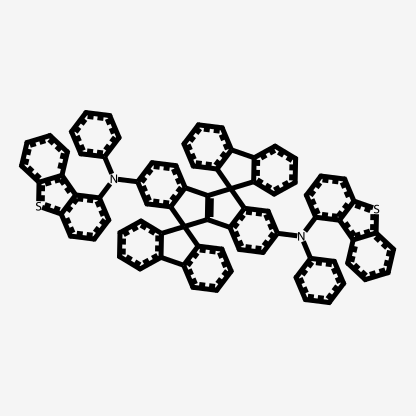 c1ccc(N(c2ccc3c(c2)C2(C4=C3C3(c5cc(N(c6ccccc6)c6cccc7sc8ccccc8c67)ccc54)c4ccccc4-c4ccccc43)c3ccccc3-c3ccccc32)c2cccc3sc4ccccc4c23)cc1